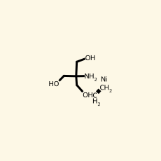 C=C.NC(CO)(CO)CO.[Ni]